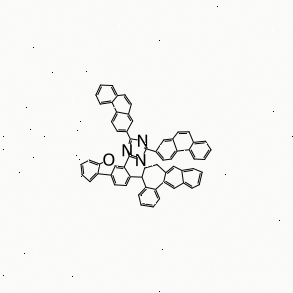 c1ccc2c(c1)-c1cc3ccccc3cc1CCC2c1ccc2c(oc3ccccc32)c1-c1nc(-c2ccc3c(ccc4ccccc43)c2)nc(-c2ccc3c(ccc4ccccc43)c2)n1